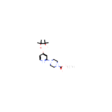 CC(C)(C)OC(=O)N1CCN(c2cc(B3OC(C)(C)C(C)(C)O3)ccn2)CC1